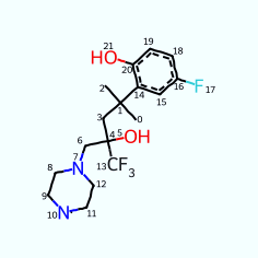 CC(C)(CC(O)(CN1CC[N]CC1)C(F)(F)F)c1cc(F)ccc1O